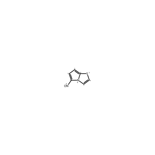 O=Nc1ccc2sccn12